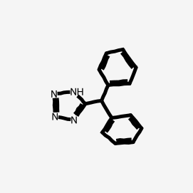 c1ccc(C(c2ccccc2)c2nnn[nH]2)cc1